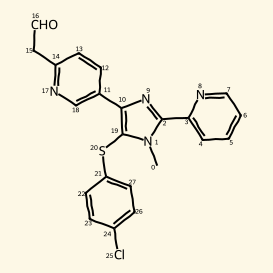 Cn1c(-c2ccccn2)nc(-c2ccc(CC=O)nc2)c1Sc1ccc(Cl)cc1